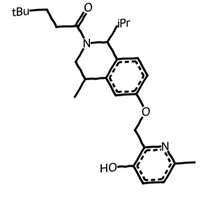 Cc1ccc(O)c(COc2ccc3c(c2)C(C)CN(C(=O)CCC(C)(C)C)C3C(C)C)n1